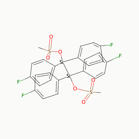 CS(=O)(=O)O[Si](c1ccc(F)cc1)(c1ccc(F)cc1)[Si](OS(C)(=O)=O)(c1ccc(F)cc1)c1ccc(F)cc1